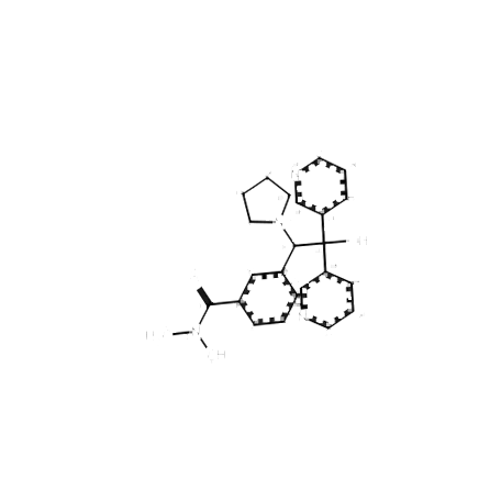 CN(C)C(=O)c1cccc(C(N2CCCC2)C(O)(c2cccnc2)c2cccnc2)c1